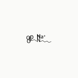 CCCCCCNCCCS(=O)(=O)[O-].[Na+]